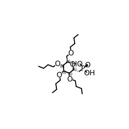 CCCCOC[C@H]1O[C@H](CP(=O)(O)O)[C@@H](OCCCC)[C@@H](OCCCC)[C@@H]1OCCCC